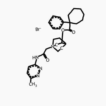 Cc1ccc(NC(=O)C[N+]23CCC(CC2)C(OC(=O)C2(c4ccccc4)CCCCCC2)C3)nn1.[Br-]